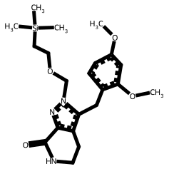 COc1ccc(Cc2c3c(nn2COCC[Si](C)(C)C)C(=O)NCC3)c(OC)c1